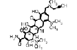 C#CCN(C)Cc1cc(N(C)C)c2c(c1O)C(=O)C1=C(O)[C@]3(O)C(=O)C(C(N)=O)=C(O)[C@@H](N(C)C)[C@@H]3C[C@@H]1C2